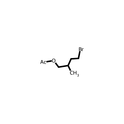 CC(=O)OCC(C)CCBr